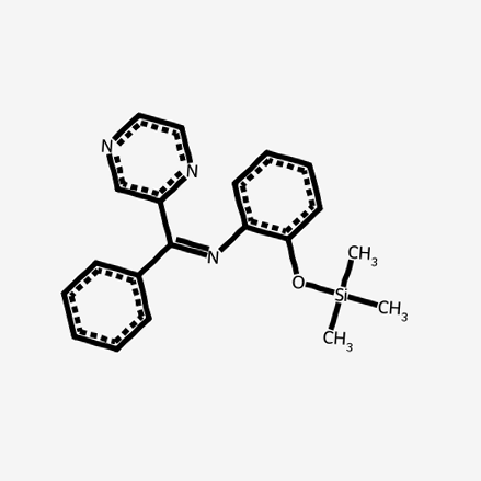 C[Si](C)(C)Oc1ccccc1N=C(c1ccccc1)c1cnccn1